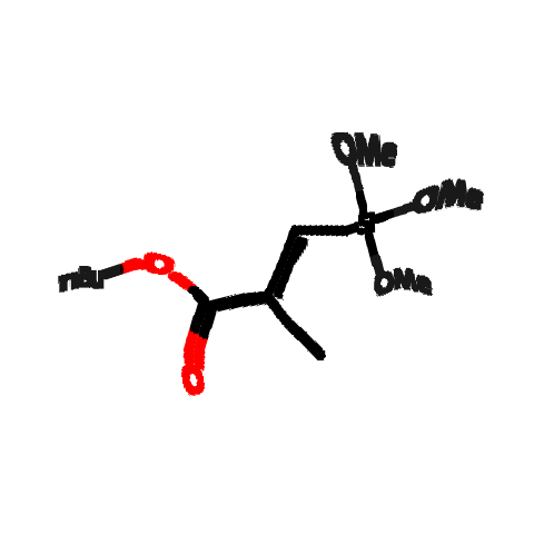 CCCCOC(=O)C(C)=C[Si](OC)(OC)OC